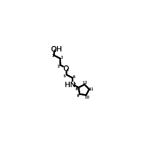 OCCCOCCNC1CCCC1